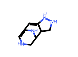 C1=C2C=C3NNCC3C(CN1)N2